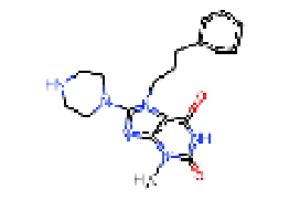 Cn1c(=O)[nH]c(=O)c2c1nc(N1CCNCC1)n2CCCc1ccccc1